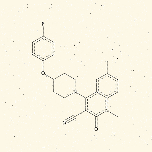 Cc1ccc2c(c1)c(N1CCC(Oc3ccc(F)cc3)CC1)c(C#N)c(=O)n2C